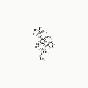 CCCCC1(C)CN(c2ccccc2)c2cc(SC)c(CSC(C)(C)C(=O)O)cc2S(O)(O)C1